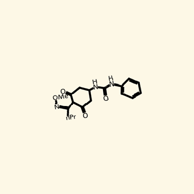 CCC/C(=N/OC)C1C(=O)CC(NC(=O)Nc2ccccc2)CC1=O